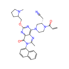 C=CC(=O)N1CCN(c2nc(OCC3CCCN3C)nc3c(=O)n(-c4cccc5ccccc45)c(C)nc23)C[C@@H]1CC#N